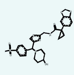 CS(=O)(=O)c1ccc(C(c2cnc(CNC(=O)C3(c4ccc5c(c4)OCO5)CC3)s2)N2CCC(O)CC2)cc1